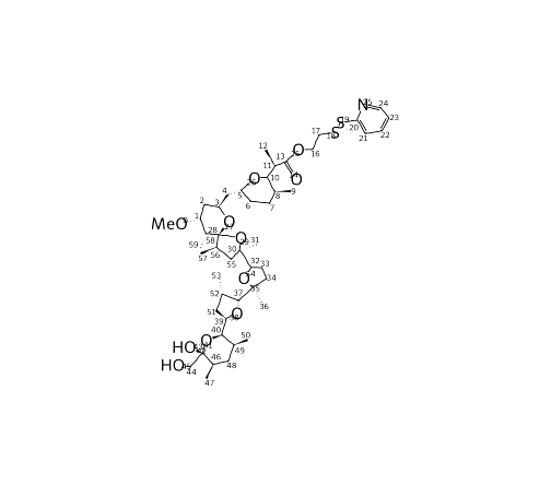 CO[C@@H]1C[C@@H](C[C@H]2CC[C@H](C)C([C@@H](C)C(=O)OCCSSc3ccccn3)O2)O[C@]2(O[C@@](C)(C3CC[C@@](C)([C@@H]4O[C@@H]([C@@H]5O[C@@](O)(CO)[C@H](C)C[C@@H]5C)C[C@@H]4C)O3)C[C@H]2C)[C@@H]1C